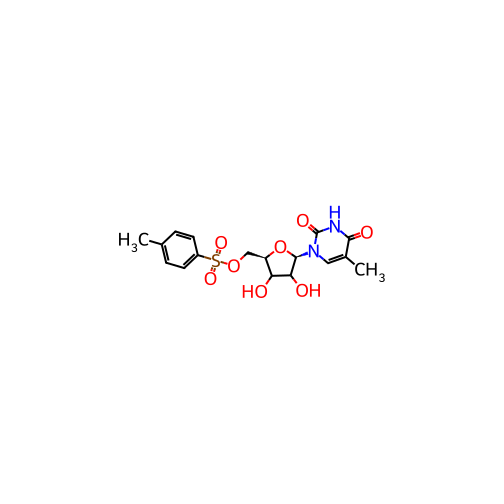 Cc1ccc(S(=O)(=O)OC[C@H]2O[C@@H](n3cc(C)c(=O)[nH]c3=O)C(O)C2O)cc1